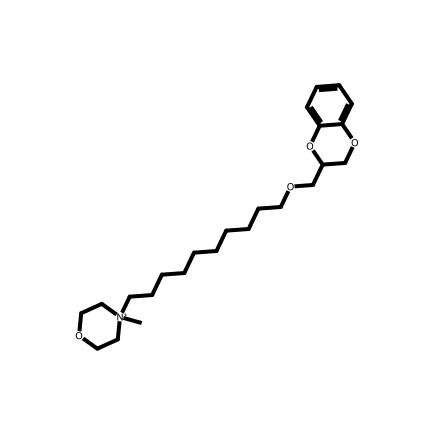 C[N+]1(CCCCCCCCCCOCC2COc3ccccc3O2)CCOCC1